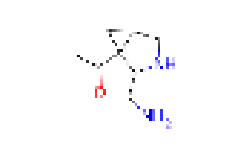 CC(=O)C12CC1CNC2CN